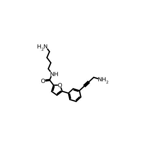 NCC#Cc1cccc(-c2ccc(C(=O)NCCCCN)o2)c1